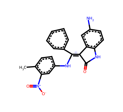 Cc1ccc(N/C(=C2\C(=O)Nc3ccc(N)cc32)c2ccccc2)cc1[N+](=O)[O-]